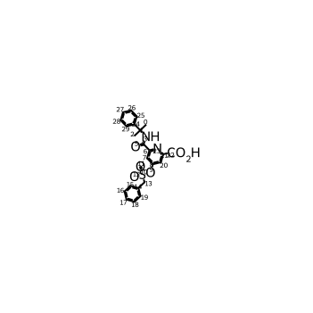 CC(C)(NC(=O)c1cc(OS(=O)(=O)Cc2ccccc2)cc(C(=O)O)n1)c1ccccc1